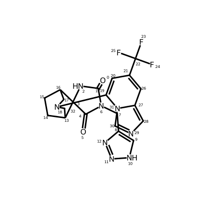 O=C1NC2(C(=O)N1Cc1c[nH]nn1)C1CCC2CN(c2cc(C(F)(F)F)cc3cncn23)C1